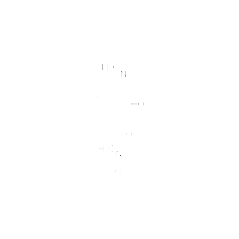 C[n+]1cccc(C2=C(c3ccccc3)c3ccc(OCC[N+]4(C)CCOCC4)cc3C2=O)c1